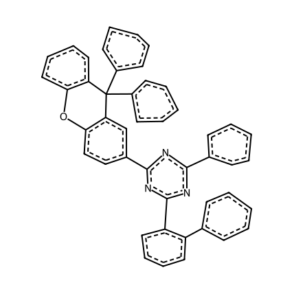 c1ccc(-c2nc(-c3ccc4c(c3)C(c3ccccc3)(c3ccccc3)c3ccccc3O4)nc(-c3ccccc3-c3ccccc3)n2)cc1